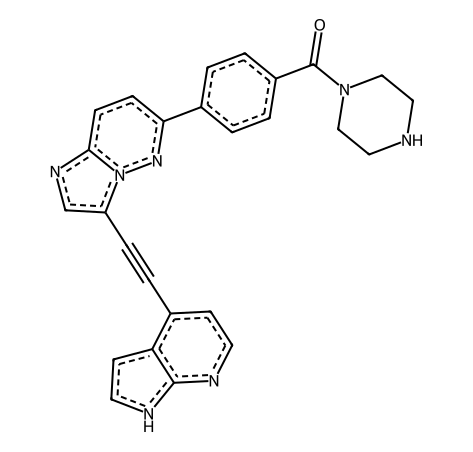 O=C(c1ccc(-c2ccc3ncc(C#Cc4ccnc5[nH]ccc45)n3n2)cc1)N1CCNCC1